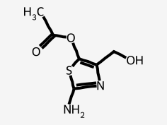 CC(=O)Oc1sc(N)nc1CO